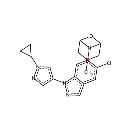 CN1CC2OC(C1)N2c1cc2c(cnn2-c2cnn(C3CC3)c2)cc1Cl